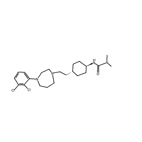 CN(C)C(=O)N[C@H]1CC[C@H](CCN2CCCN(c3cccc(Cl)c3Cl)CC2)CC1